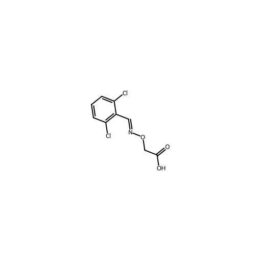 O=C(O)CON=Cc1c(Cl)cccc1Cl